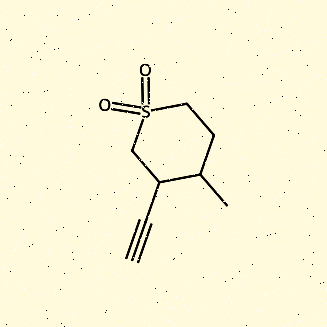 C#CC1CS(=O)(=O)CCC1C